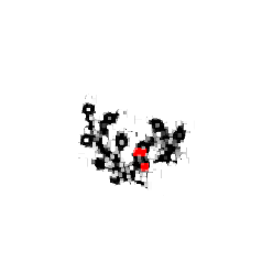 CC[C@H](C)[C@H](NC(=O)[C@H](CC(N)=O)NC(=O)[C@@H]1CCCN1C(=O)[C@H](Cc1c[nH]cn1)NC(=O)[C@H](Cc1ccc(O)cc1)NC(=O)[C@H](C)NC(=O)[C@H](Cc1ccccc1)NC(=O)[C@H](Cc1ccc(O)cc1)NC(=O)[C@@H](N)Cc1ccc(O)cc1)C(=O)N1CCC[C@H]1C(=O)NCC(=O)N[C@@H](CC(C)C)C(=O)N[C@@H](Cc1ccc(O)cc1)C(=O)N[C@@H](Cc1ccc(O)cc1)C(=O)N[C@@H](Cc1ccccc1)C(=O)O